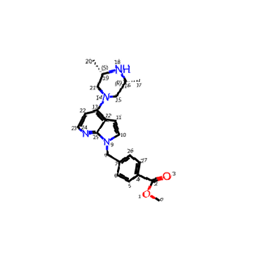 COC(=O)c1ccc(Cn2ccc3c(N4C[C@@H](C)N[C@@H](C)C4)ccnc32)cc1